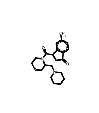 Cc1ccc2c(c1)C(C(=O)N1CCSCC1CN1CCCCC1)CC2=O